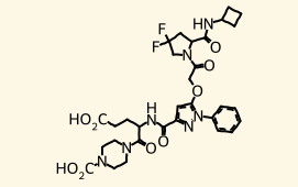 O=C(O)CCC(NC(=O)c1cc(OCC(=O)N2CC(F)(F)CC2C(=O)NC2CCC2)n(-c2ccccc2)n1)C(=O)N1CCN(C(=O)O)CC1